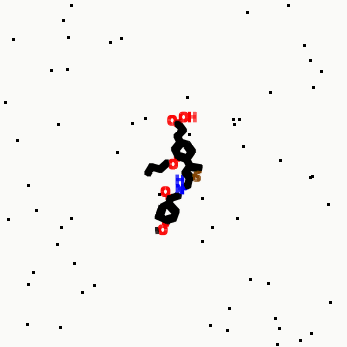 CCCCOc1cc(CCC(=O)O)ccc1-c1csc(CNCC(=O)c2ccc(OC)cc2)c1